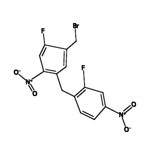 O=[N+]([O-])c1ccc(Cc2cc(CBr)c(F)cc2[N+](=O)[O-])c(F)c1